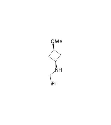 CO[C@H]1C[C@@H](NCC(C)C)C1